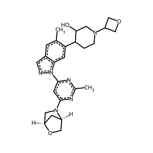 Cc1nc(N2C[C@H]3C[C@@H]2CO3)cc(-n2ncc3cc(C)c(C4CCN(C5COC5)CC4O)cc32)n1